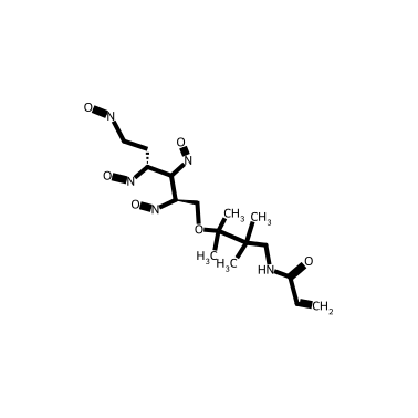 C=CC(=O)NCC(C)(C)C(C)(C)OC[C@@H](N=O)C(N=O)[C@@H](CCN=O)N=O